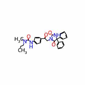 CCCN(C)C(=O)Nc1ccc(C(=O)CN2C(=O)NC(c3ccccc3)(c3ccccc3)C2=O)cc1